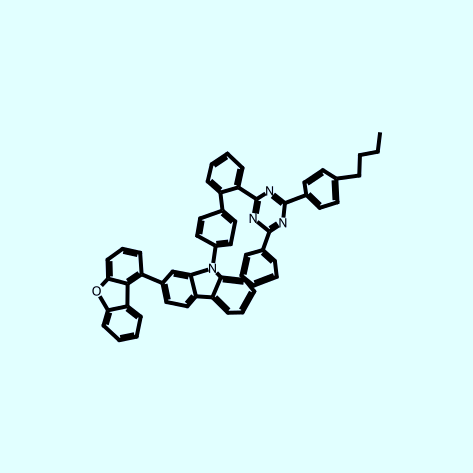 CCCCc1ccc(-c2nc(-c3ccccc3)nc(-c3ccccc3-c3ccc(-n4c5ccccc5c5ccc(-c6cccc7oc8ccccc8c67)cc54)cc3)n2)cc1